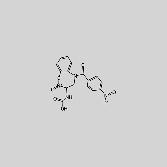 O=C(O)NC1CN(C(=O)c2ccc([N+](=O)[O-])cc2)c2ccccc2C[N+]1=O